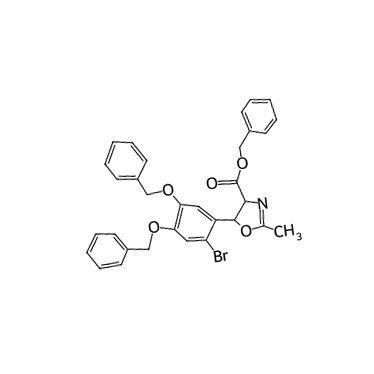 CC1=NC(C(=O)OCc2ccccc2)C(c2cc(OCc3ccccc3)c(OCc3ccccc3)cc2Br)O1